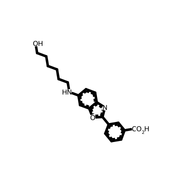 O=C(O)c1cccc(-c2nc3ccc(NCCCCCCO)cc3o2)c1